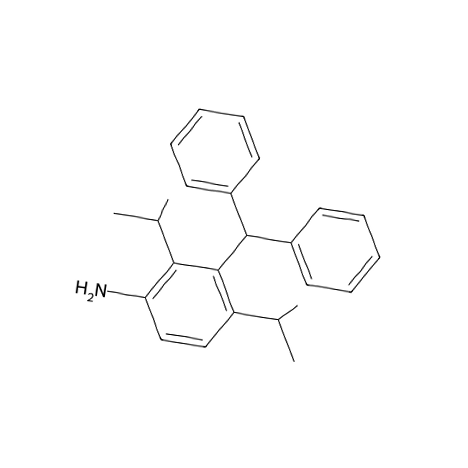 CC(C)c1ccc(N)c(C(C)C)c1C(c1ccccc1)c1ccccc1